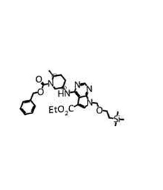 CCOC(=O)c1cn(COCC[Si](C)(C)C)c2ncnc(N[C@@H]3CC[C@H](C)N(C(=O)OCc4ccccc4)C3)c12